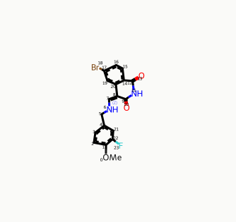 COc1ccc(CN/C=C2\C(=O)NC(=O)c3ccc(Br)cc32)cc1F